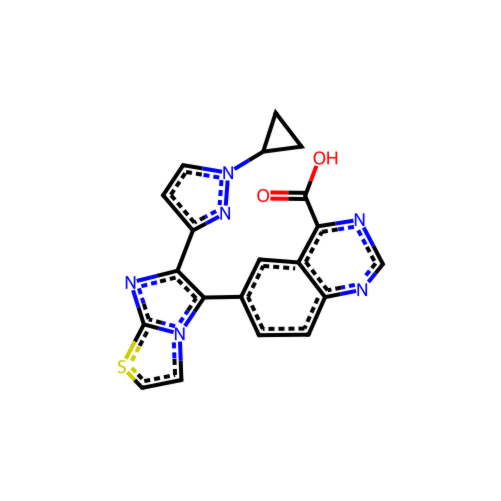 O=C(O)c1ncnc2ccc(-c3c(-c4ccn(C5CC5)n4)nc4sccn34)cc12